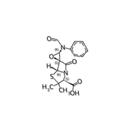 CC1(C)S[C@H]2N(C(=O)[C@]23O[C@H]3N(C=O)c2ccccc2)[C@H]1C(=O)O